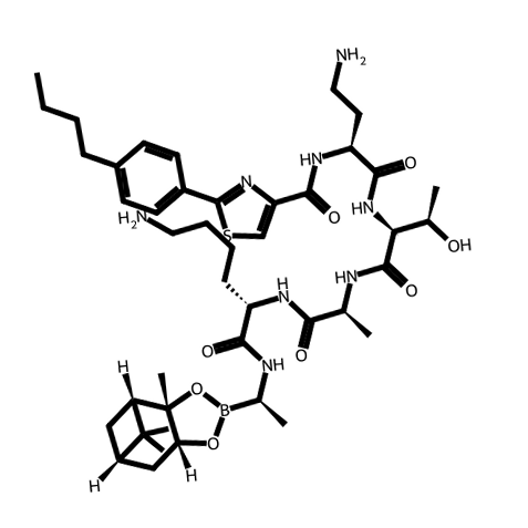 CCCCc1ccc(-c2nc(C(=O)N[C@@H](CCN)C(=O)N[C@H](C(=O)N[C@@H](C)C(=O)N[C@@H](CCCCN)C(=O)N[C@@H](C)B3O[C@@H]4C[C@@H]5C[C@@H](C5(C)C)[C@]4(C)O3)[C@@H](C)O)cs2)cc1